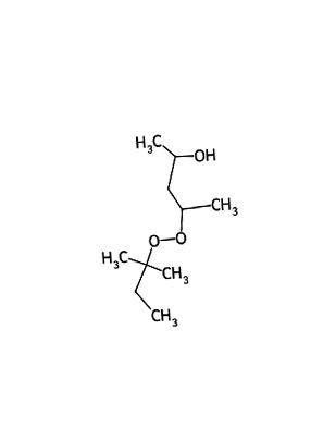 CCC(C)(C)OOC(C)CC(C)O